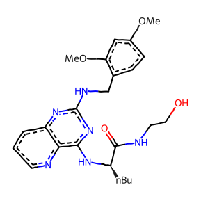 CCCC[C@@H](Nc1nc(NCc2ccc(OC)cc2OC)nc2cccnc12)C(=O)NCCO